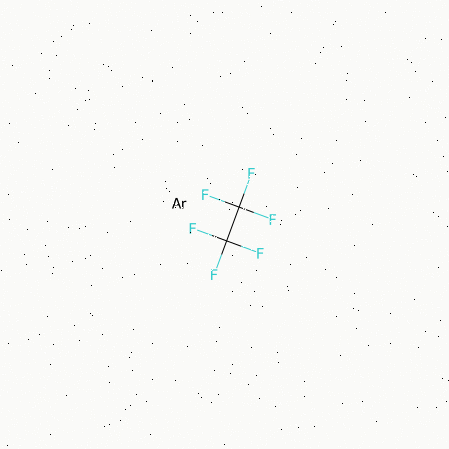 FC(F)(F)C(F)(F)F.[Ar]